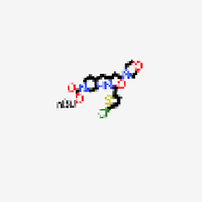 CCCCOC(=O)N1CCC(CC(CCN2CCOCC2)NC(=O)c2ccc(Cl)s2)CC1